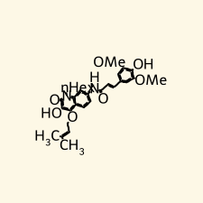 CCCCCCn1c(=O)c(O)c(OCC=C(C)C)c2ccc(NC(=O)/C=C/c3cc(OC)c(O)c(OC)c3)cc21